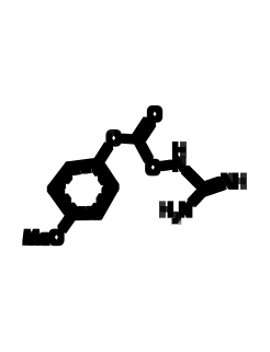 COc1ccc(OC(=O)ONC(=N)N)cc1